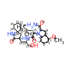 COc1cccc2c1cc(C(N)=O)n2[C@@H](CC(C)C)C(=O)NC(CO)CC1CC2(CCCCC2)NC1=O